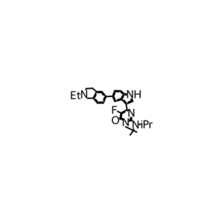 CCN1CCc2cc(-c3ccc4[nH]cc(-c5nc6n(c(=O)c5F)CC(C)(C)N6C(C)C)c4c3)ccc2C1